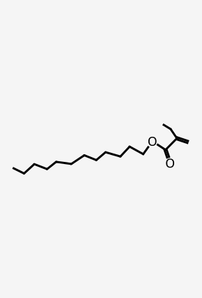 C=C(CC)C(=O)OCCCCCCCCCCCC